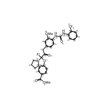 COC(=O)c1ccc(OC(F)(C(=O)Cc2ccc(NC(=O)Nc3ccccc3C(F)(F)F)c(OC)c2)N2CCCC2)cc1